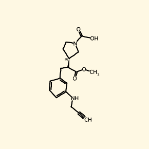 C#CCNc1cccc(CC(C(=O)OC)[C@H]2CCN(C(=O)O)C2)c1